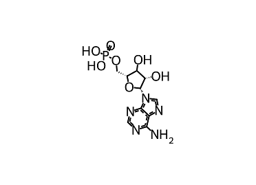 Nc1ncnc2c1ncn2[C@@H]1O[C@H](COP(=O)(O)O)C(O)[C@@H]1O